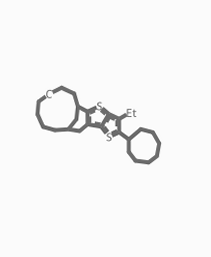 CCc1c(C2CCCCCCC2)sc2c3c(sc12)C1CCCCCCCC(C3)C1